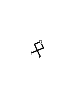 FC1(I)COC1